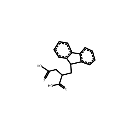 O=C(O)CC(CC1c2ccccc2-c2ccccc21)C(=O)O